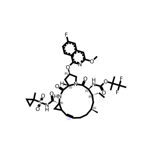 CC[C@@H]1C[C@@H](C)CC/C=C\C2C[C@@]2(C(=O)NS(=O)(=O)C2(C)CC2)NC(=O)[C@@H]2C[C@@H](Oc3nc(OC)cc4cc(F)ccc34)CN2C(=O)[C@H]1NC(=O)OC(C)(C)C(C)(F)F